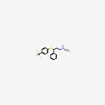 CNCCC(Sc1ccc(C(F)(F)F)cc1)c1ccccc1